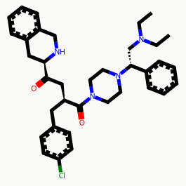 CCN(CC)C[C@H](c1ccccc1)N1CCN(C(=O)[C@H](CC(=O)[C@H]2Cc3ccccc3CN2)Cc2ccc(Cl)cc2)CC1